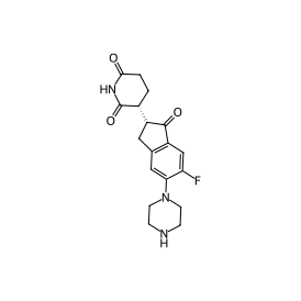 O=C1CC[C@H](C2Cc3cc(N4CCNCC4)c(F)cc3C2=O)C(=O)N1